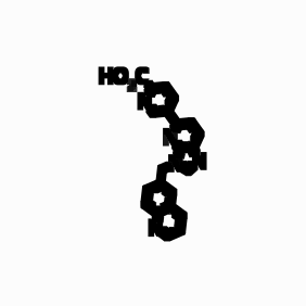 O=C(O)c1ccc(-c2ccc3ncn(Cc4ccc5ncccc5c4)c3n2)cn1